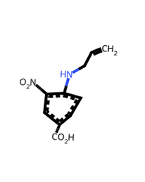 C=CCNc1ccc(C(=O)O)cc1[N+](=O)[O-]